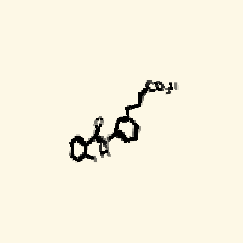 O=C(O)CCCc1cccc(NC(=O)c2ccccc2I)c1